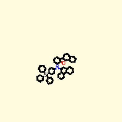 c1ccc([Si](c2ccccc2)(c2ccccc2)c2ccc(N(c3cc4ccccc4c4ccccc34)c3cccc4c3oc3c5ccccc5ccc43)cc2)cc1